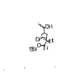 CCC(C(=O)OC(C)(C)C)N1CC(C(O)=S)CC1=O